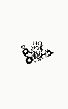 COc1cccc(-c2nnc(NS(=O)(=O)[C@H](C)[C@@H](OC[C@H](O)CO)c3ncc(C)cn3)n2-c2c(OC)cccc2OC)c1